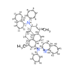 CC1=CC(N(c2ccccc2)c2cccc3ccccc23)C2=CCc3c(C)cc(N(c4ccccc4)c4ccc5ccccc5n4)c4ccc1c2c34